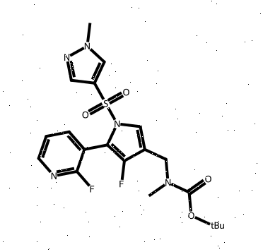 CN(Cc1cn(S(=O)(=O)c2cnn(C)c2)c(-c2cccnc2F)c1F)C(=O)OC(C)(C)C